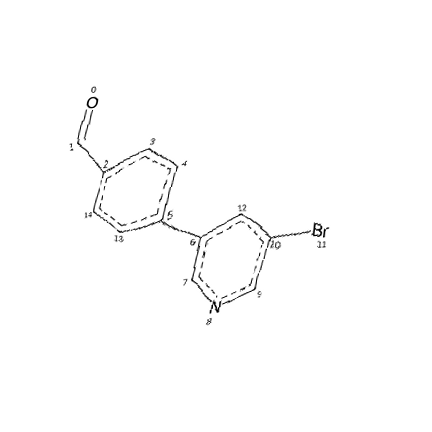 O=Cc1ccc(-c2cncc(Br)c2)cc1